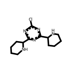 Clc1nc(C2CCCCN2)nc(C2CCCCN2)n1